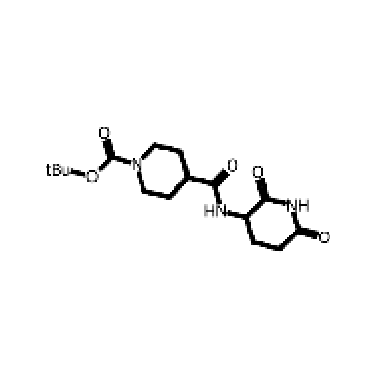 CC(C)(C)OC(=O)N1CCC(C(=O)NC2CCC(=O)NC2=O)CC1